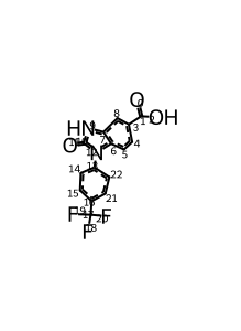 O=C(O)c1ccc2c(c1)[nH]c(=O)n2-c1ccc(C(F)(F)F)cc1